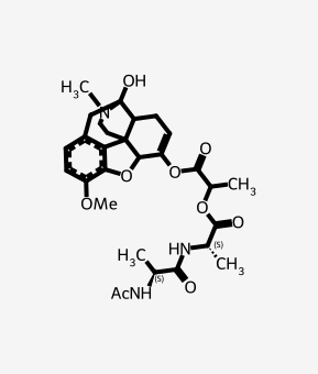 COc1ccc2c3c1OC1C(OC(=O)C(C)OC(=O)[C@H](C)NC(=O)[C@H](C)NC(C)=O)=CCC4C31CCN(C)C4(O)C2